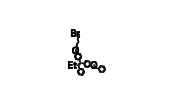 CC/C(=C(\c1ccc(OCCCCCBr)cc1)c1ccc(OCc2ccccc2)cc1)c1ccccc1